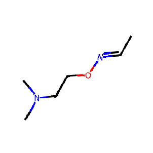 CC=NOCCN(C)C